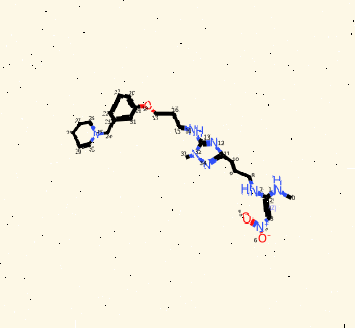 CN/C(=C/[N+](=O)[O-])NCCCc1nc(NCCCOc2cccc(CN3CCCCC3)c2)n(C)n1